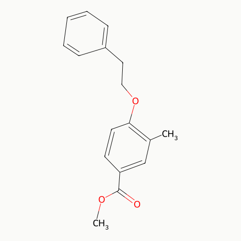 COC(=O)c1ccc(OCCc2ccccc2)c(C)c1